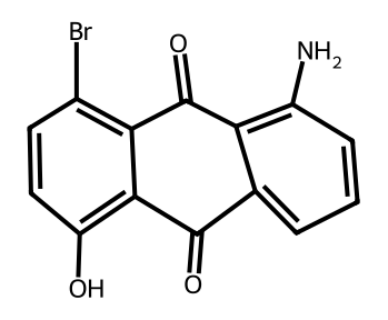 Nc1cccc2c1C(=O)c1c(Br)ccc(O)c1C2=O